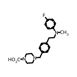 CN(CCc1ccc(CN2CCN(C(=O)O)CC2)cc1)c1ccc(F)cc1